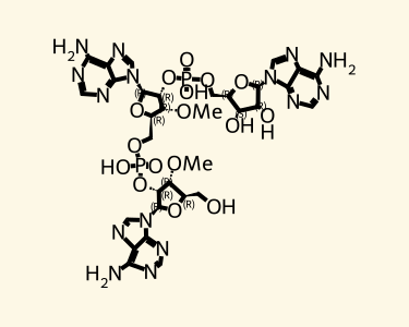 CO[C@H]1[C@@H](OP(=O)(O)OC[C@H]2O[C@@H](n3cnc4c(N)ncnc43)[C@H](OP(=O)(O)OC[C@H]3O[C@@H](n4cnc5c(N)ncnc54)[C@H](O)[C@@H]3O)[C@@H]2OC)[C@H](n2cnc3c(N)ncnc32)O[C@@H]1CO